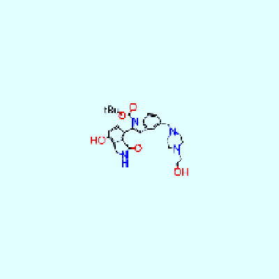 CC(C)(C)OC(=O)n1c(-c2ccc(O)c3c2C(=O)NC3)cc2cc(CN3CCN(CCO)CC3)ccc21